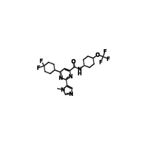 Cn1cncc1-c1nc(C(=O)NC2CCC(OC(F)(F)F)CC2)cc(C2CCC(F)(F)CC2)n1